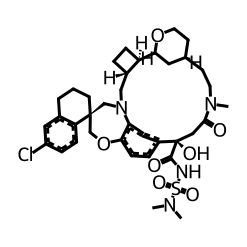 CN1CC[C@H]2CCO[C@@H](C2)[C@@H]2CC[C@H]2CN2C[C@@]3(CCCc4cc(Cl)ccc43)COc3ccc(cc32)[C@@](O)(C(=O)NS(=O)(=O)N(C)C)CC1=O